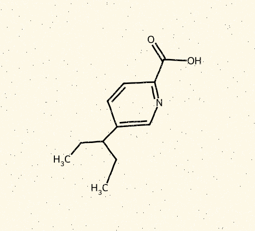 CCC(CC)c1ccc(C(=O)O)nc1